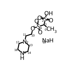 CC(S(=O)(=O)O)S(=O)(=O)OCCN1CCNCC1.[NaH]